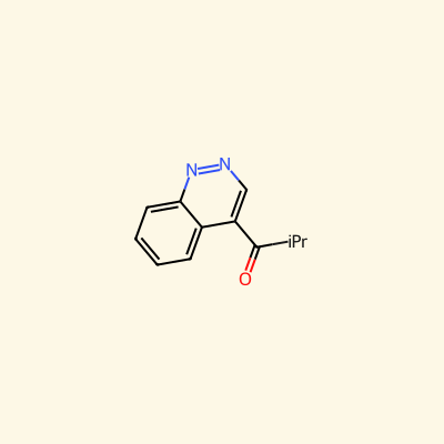 CC(C)C(=O)c1cnnc2ccccc12